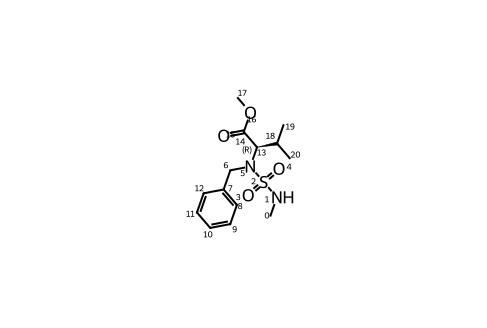 CNS(=O)(=O)N(Cc1ccccc1)[C@@H](C(=O)OC)C(C)C